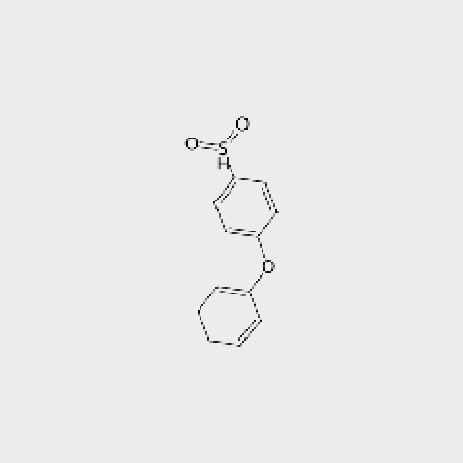 O=[SH](=O)c1ccc(OC2=CCCC=C2)cc1